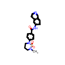 CN1CCCN(c2ccc(C(=O)Nc3ccc4cnccc4c3)cc2)S1(=O)=O